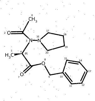 CC(=O)N([C@H](C)C(=O)OCc1ccccc1)N1CCCC1